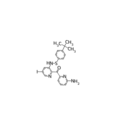 CC(C)(C)c1ccc(SNc2cc(I)cnc2C(=O)c2cccc(N)n2)cc1